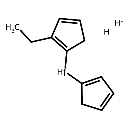 CCC1=[C]([Hf][C]2=CC=CC2)CC=C1.[H-].[H-]